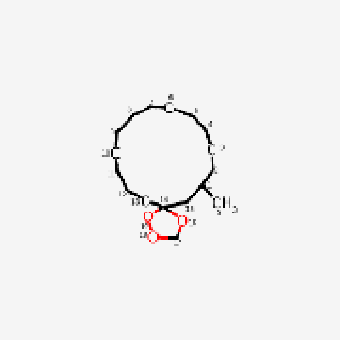 CC1CCCCCCCCCCCCC2(C1)OCOO2